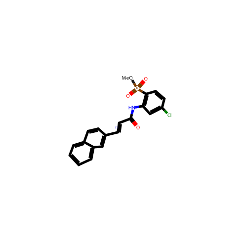 COS(=O)(=O)c1ccc(Cl)cc1NC(=O)/C=C/c1ccc2ccccc2c1